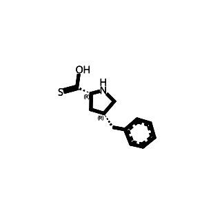 OC(=S)[C@H]1C[C@@H](Cc2ccccc2)CN1